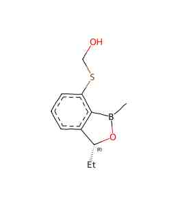 CC[C@H]1OB(C)c2c(SCO)cccc21